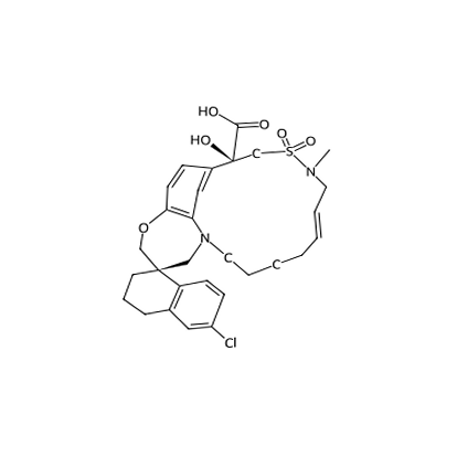 CN1C/C=C/CCCCN2C[C@@]3(CCCc4cc(Cl)ccc43)COc3ccc(cc32)[C@](O)(C(=O)O)CS1(=O)=O